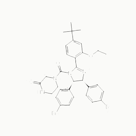 CCOc1cc(C(C)(C)C)ccc1C1=N[C@@H](c2ccc(Br)cc2)[C@@H](c2ccc(Br)cc2)N1C(=O)N1CCNC(=O)C1